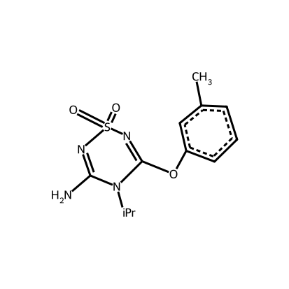 Cc1cccc(OC2=NS(=O)(=O)N=C(N)N2C(C)C)c1